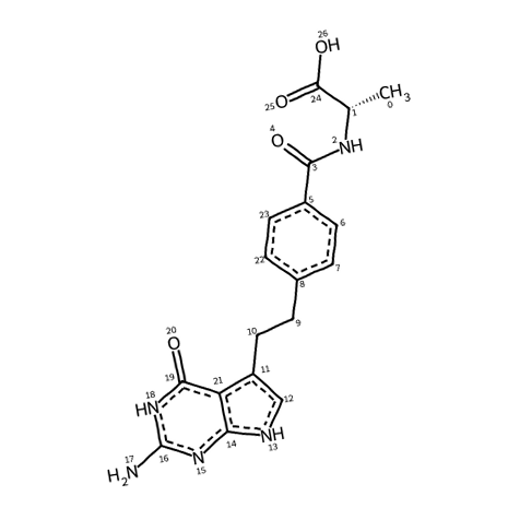 C[C@H](NC(=O)c1ccc(CCc2c[nH]c3nc(N)[nH]c(=O)c23)cc1)C(=O)O